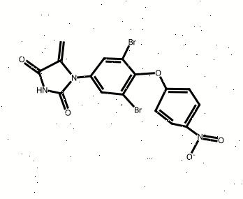 C=C1C(=O)NC(=O)N1c1cc(Br)c(Oc2ccc([N+](=O)[O-])cc2)c(Br)c1